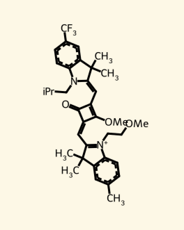 COCC[N+]1=C(/C=C2/C(=O)C(/C=C3\N(CC(C)C)c4ccc(C(F)(F)F)cc4C3(C)C)=C2OC)C(C)(C)c2cc(C)ccc21